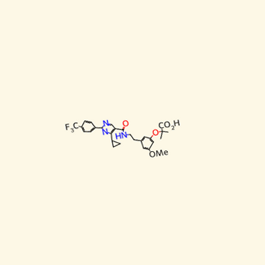 COc1cc(CCNC(=O)c2cnc(-c3ccc(C(F)(F)F)cc3)nc2C2CC2)cc(OC(C)(C)C(=O)O)c1